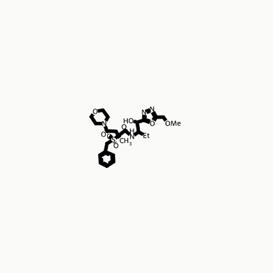 CCC(NC(=O)C(C)(CC(=O)N1CCOCC1)S(=O)(=O)Cc1ccccc1)C(O)c1nnc(COC)o1